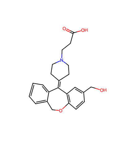 O=C(O)CCN1CCC(=C2c3ccccc3COc3ccc(CO)cc32)CC1